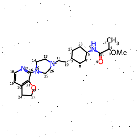 CO[C@H](C)C(=O)N[C@H]1CC[C@H](CCN2CCN(c3nccc4c3OCC4)CC2)CC1